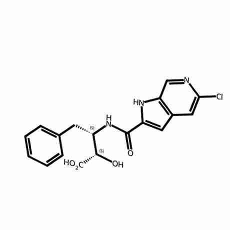 O=C(N[C@@H](Cc1ccccc1)[C@H](O)C(=O)O)c1cc2cc(Cl)ncc2[nH]1